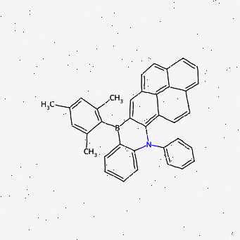 Cc1cc(C)c(B2c3ccccc3N(c3ccccc3)c3c2cc2ccc4cccc5ccc3c2c45)c(C)c1